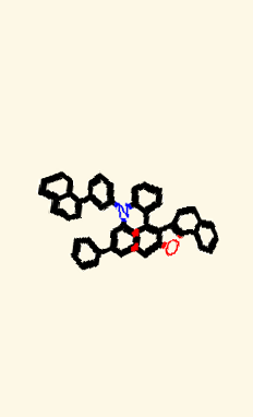 c1ccc(-c2cccc(N(c3cccc(-c4cccc5ccccc45)c3)c3ccccc3-c3cccc4oc5c6ccccc6ccc5c34)c2)cc1